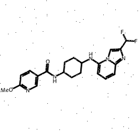 COc1ccc(C(=O)NC2CCC(Nc3cccc4nc(C(F)F)cn34)CC2)cn1